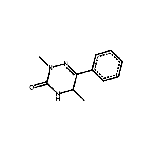 CC1NC(=O)N(C)N=C1c1ccccc1